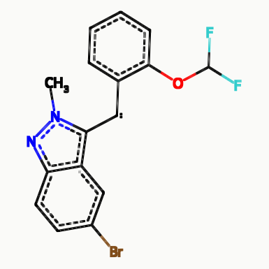 Cn1nc2ccc(Br)cc2c1[C]c1ccccc1OC(F)F